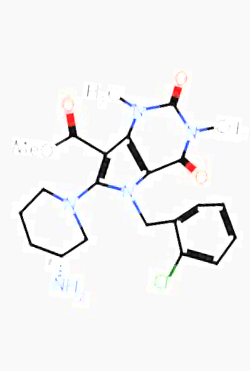 COC(=O)c1c(N2CCC[C@@H](N)C2)n(Cc2ccccc2Cl)c2c(=O)n(C)c(=O)n(C)c12